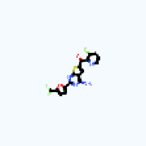 Nc1nc(-c2ccc(C(F)F)o2)nc2sc(C(=O)c3ncccc3F)cc12